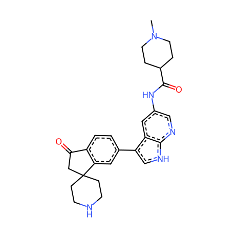 CN1CCC(C(=O)Nc2cnc3[nH]cc(-c4ccc5c(c4)C4(CCNCC4)CC5=O)c3c2)CC1